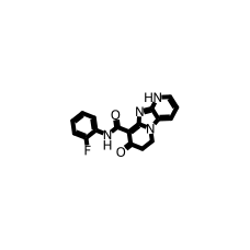 O=C1CCn2c(nc3c2=CC=CN3)=C1C(=O)Nc1ccccc1F